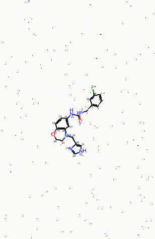 O=C(NCc1cccc(F)c1)Nc1ccc2c(c1)N(Cc1c[nH]cn1)CCO2